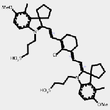 COc1ccc2c(c1C)C1(CCCC1)C(/C=C/C1=C(Cl)C(=C/C=C3\N(CCCS(=O)(=O)O)c4ccc(OC)c(C)c4C34CCCC4)/CCC1)=[N+]2CCCS(=O)(=O)O